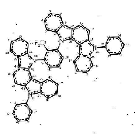 FC(F)(F)c1c(-n2c3ccccc3c3ccc4c(c5ccccc5n4-c4ccccc4)c32)cccc1-n1c2ccccc2c2ccc3c(c4ccccc4n3-c3ccccc3)c21